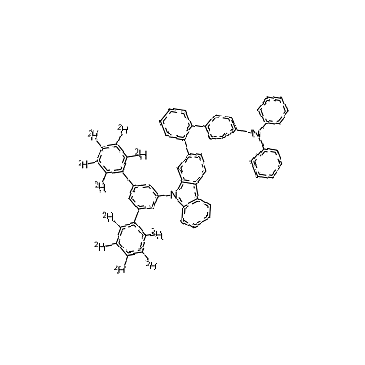 [2H]c1c([2H])c([2H])c(-c2cc(-c3c([2H])c([2H])c([2H])c([2H])c3[2H])cc(-n3c4ccccc4c4ccc(-c5ccccc5-c5ccc(N(c6ccccc6)c6ccccc6)cc5)cc43)c2)c([2H])c1[2H]